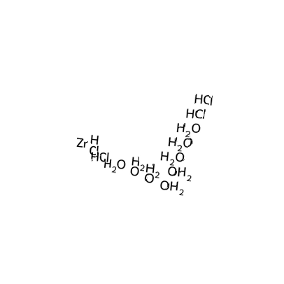 Cl.Cl.Cl.Cl.O.O.O.O.O.O.O.O.[Zr]